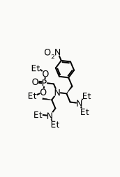 CCOP(=O)(CN([C@@H](Cc1ccc([N+](=O)[O-])cc1)CN(CC)CC)[C@H](C)CN(CC)CC)OCC